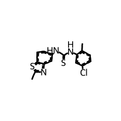 Cc1nc2cc(NC(=S)Nc3cc(Cl)ccc3C)ccc2s1